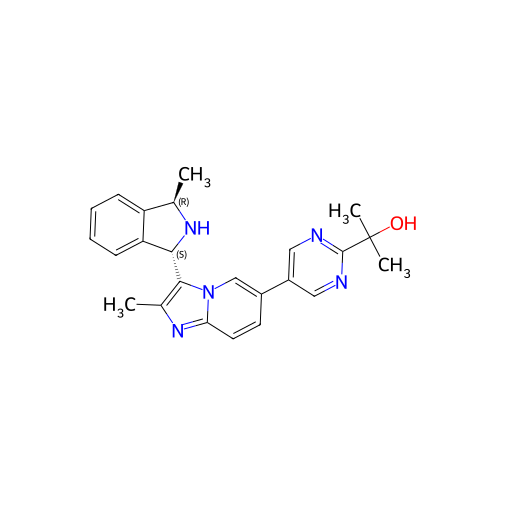 Cc1nc2ccc(-c3cnc(C(C)(C)O)nc3)cn2c1[C@H]1N[C@H](C)c2ccccc21